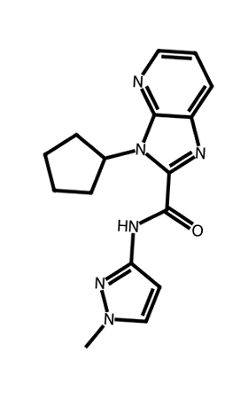 Cn1ccc(NC(=O)c2nc3cccnc3n2C2CCCC2)n1